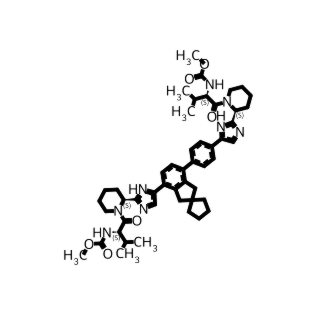 COC(=O)N[C@H](C(=O)N1CCCC[C@H]1c1ncc(-c2ccc(-c3ccc(-c4cnc([C@@H]5CCCCN5C(=O)[C@@H](NC(=O)OC)C(C)C)[nH]4)c4c3CC3(CCCC3)C4)cc2)[nH]1)C(C)C